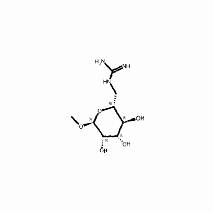 CO[C@H]1O[C@H](CNC(=N)N)[C@@H](O)[C@H](O)[C@@H]1O